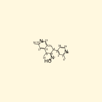 Cc1cc(C(C)C(=NO)C(C)c2ccnc(C)c2)ccn1